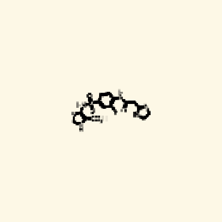 O=C(CC1=NCCN1)Nc1ccc(S(=O)(=O)NC2=C(C(=O)O)NCS2)cc1F